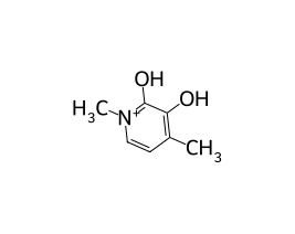 Cc1cc[n+](C)c(O)c1O